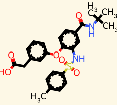 Cc1ccc(S(=O)(=O)Nc2cc(C(=O)NC(C)(C)C)ccc2Oc2cccc(CC(=O)O)c2)cc1